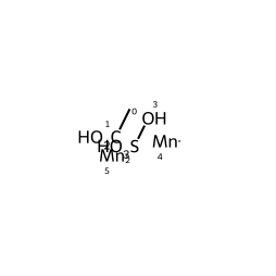 CC(=O)O.O=S(=O)(O)O.[Mn].[Mn]